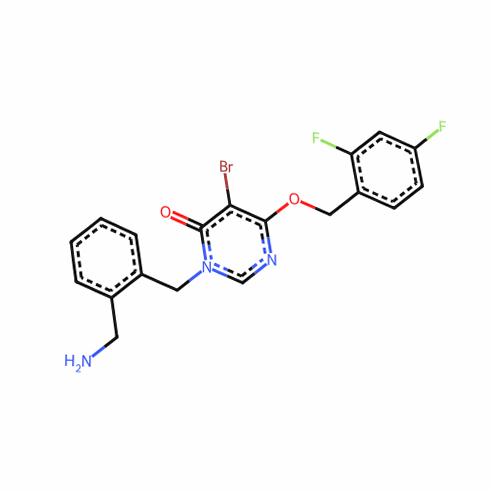 NCc1ccccc1Cn1cnc(OCc2ccc(F)cc2F)c(Br)c1=O